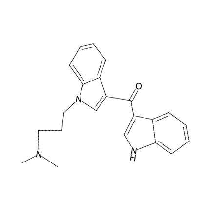 CN(C)CCCn1cc(C(=O)c2c[nH]c3ccccc23)c2ccccc21